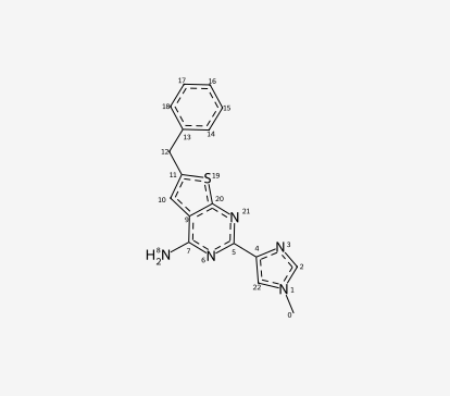 Cn1cnc(-c2nc(N)c3cc(Cc4ccccc4)sc3n2)c1